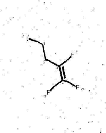 FC(F)=C(F)CCI